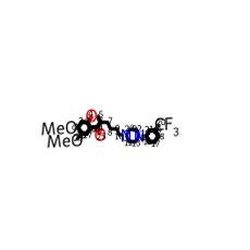 COc1cc2occ(CCCCN3CCN(c4cccc(C(F)(F)F)c4)CC3)c(=O)c2cc1OC